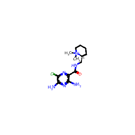 C[N+]1(C)CCCC[C@H]1CNC(=O)c1nc(Cl)c(N)nc1N